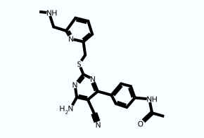 CNCc1cccc(CSc2nc(N)c(C#N)c(-c3ccc(NC(C)=O)cc3)n2)n1